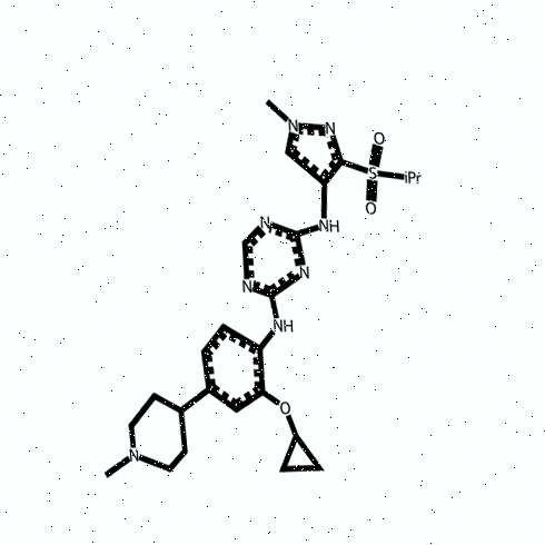 CC(C)S(=O)(=O)c1nn(C)cc1Nc1ncnc(Nc2ccc(C3CCN(C)CC3)cc2OC2CC2)n1